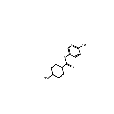 CCCCC1CCC(C(=O)Oc2ccc(C)nc2)CC1